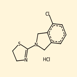 Cl.Clc1cccc2c1CN(C1=NCCS1)C2